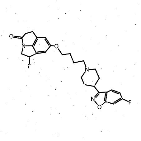 O=C1CCc2cc(OCCCCN3CCC(c4noc5cc(F)ccc45)CC3)cc3c2N1CC3F